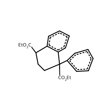 CCOC(=O)C1CCC(C(=O)OCC)(c2ccccc2)c2ccccc21